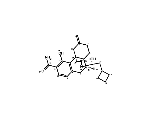 C=C1CC[C@@]2(O)[C@H]3Cc4ccc(C(N)=O)c(O)c4C2(CCN3CC2CCC2)C1